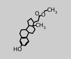 CCOC(=O)CC1CCC2C3CCc4cc(O)ccc4C3CCC12C